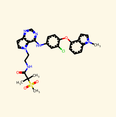 Cn1ccc2c(Oc3ccc(Nc4ncnc5ccn(CCNC(=O)C(C)(C)S(C)(=O)=O)c45)cc3Cl)cccc21